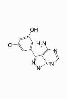 Nc1ncnc2c1C(c1cc(O)cc(Cl)c1)=N[N]2